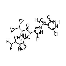 CC(C(F)F)n1nccc1C(=O)N[C@H](C(=O)Nc1cn([C@@H](C)c2cc(Cl)n[nH]c2=O)nc1F)C(C1CC1)C1CC1